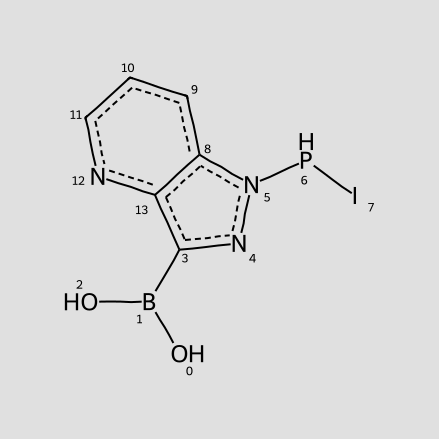 OB(O)c1nn(PI)c2cccnc12